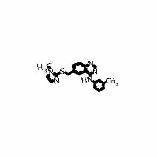 Cc1cccc(Nc2ncnc3ccc(CSc4nccn4C)cc23)c1